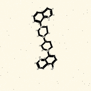 Fc1ccc(N2CCC(N3CCN(c4cccc5cccnc45)CC3)CC2)c2ncccc12